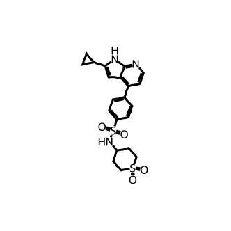 O=S1(=O)CCC(NS(=O)(=O)c2ccc(-c3ccnc4[nH]c(C5CC5)cc34)cc2)CC1